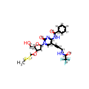 CSSCOC1C[C@H](n2cc(C#CCNC(=O)C(F)(F)F)c(NC(=O)c3ccccc3)nc2=O)O[C@@H]1CO